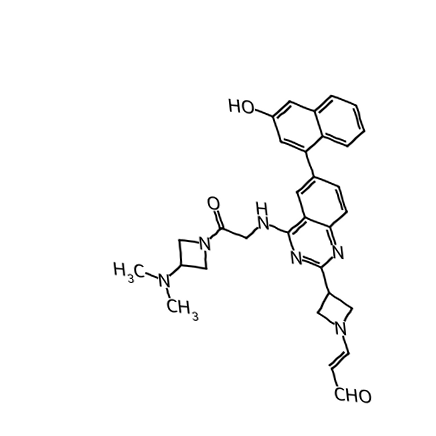 CN(C)C1CN(C(=O)CNc2nc(C3CN(C=CC=O)C3)nc3ccc(-c4cc(O)cc5ccccc45)cc23)C1